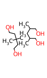 CC(C)(CCO)CCO.CC(CO)CC(C)CO